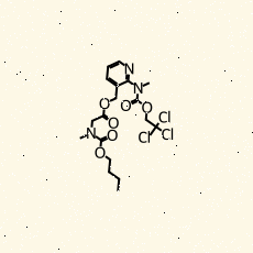 CCCCOC(=O)N(C)CC(=O)OCc1cccnc1N(C)C(=O)OCC(Cl)(Cl)Cl